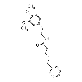 COc1ccc(CCNC(=O)NCCCc2ccccc2)cc1OC